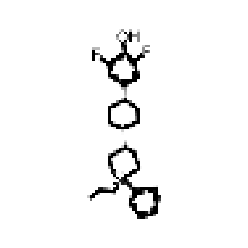 CCC[Si]1(c2ccccc2)CCC([C@H]2CC[C@H](c3cc(F)c(O)c(F)c3)CC2)CC1